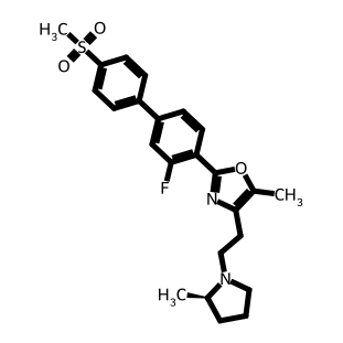 Cc1oc(-c2ccc(-c3ccc(S(C)(=O)=O)cc3)cc2F)nc1CCN1CCC[C@H]1C